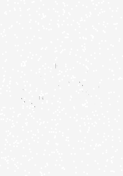 CCC(Cc1cnnn1C)CC(C)(C)N(C)S(C)(=O)=O